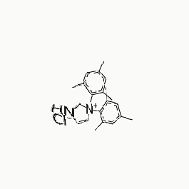 Cc1cc(C)c([N+]2(c3c(C)cc(C)cc3C)C=CNC2)c(C)c1.[Cl-]